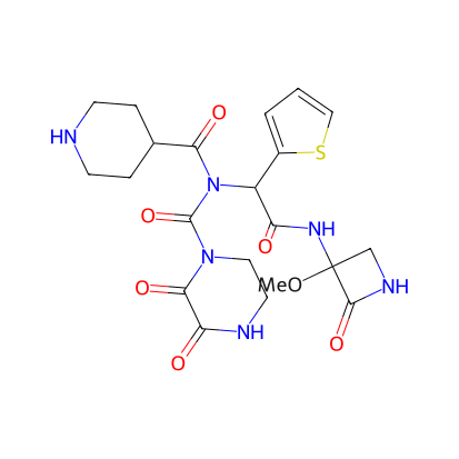 COC1(NC(=O)C(c2cccs2)N(C(=O)C2CCNCC2)C(=O)N2CCNC(=O)C2=O)CNC1=O